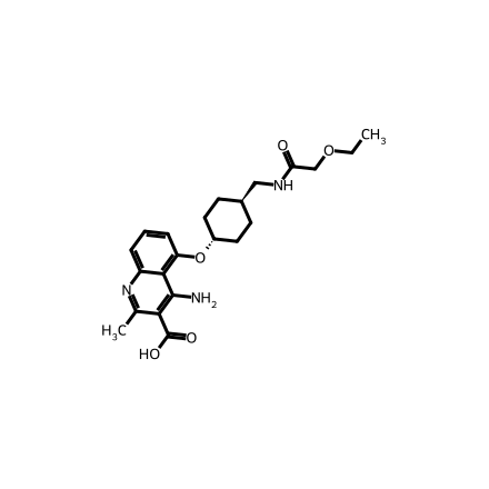 CCOCC(=O)NC[C@H]1CC[C@H](Oc2cccc3nc(C)c(C(=O)O)c(N)c23)CC1